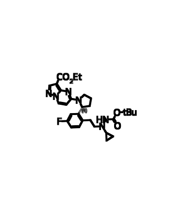 CCOC(=O)c1cnn2ccc(N3CCC[C@@H]3c3cc(F)ccc3CCN(NC(=O)OC(C)(C)C)C3CC3)nc12